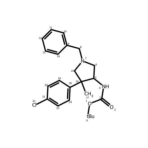 CC(C)(C)OC(=O)NC1CN(Cc2ccccc2)CC1(C)c1ccc(Cl)cc1